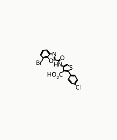 O=C(Nc1csc(-c2ccc(Cl)cc2)c1C(=O)O)c1nc2cccc(Br)c2o1